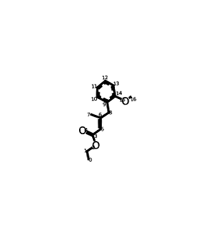 CCOC(=O)/C=C(\C)Cc1ccccc1OC